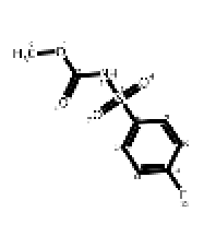 COC(=O)NS(=O)(=O)c1ccc(F)cc1